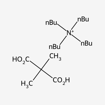 CC(C)(C(=O)O)C(=O)O.CCCC[N+](CCCC)(CCCC)CCCC